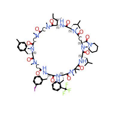 CC[C@H](C)[C@@H]1NC(=O)[C@H](CC(C)C)N(C)C(=O)C[C@@H](C(=O)N2CCCCC2)N(C)C(=O)[C@H](CC(C)C)NC(=O)C(C)(C)N(C)C(=O)[C@H](Cc2ccccc2C(F)(F)F)NC(=O)[C@H](Cc2cccc(I)c2)NC(=O)CN(C)C(=O)[C@H](Cc2ccc(C)cc2)N(C)C(=O)CN(C)C(=O)CN(C)C1=O